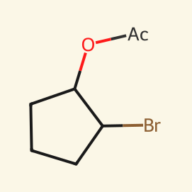 CC(=O)OC1CCCC1Br